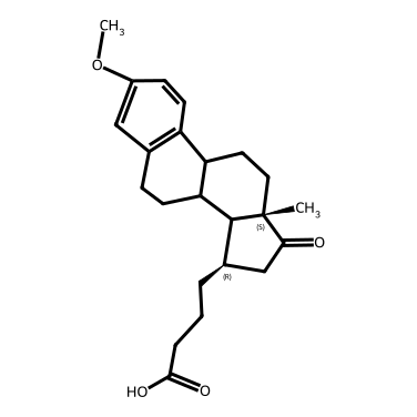 COc1ccc2c(c1)CCC1C2CC[C@]2(C)C(=O)C[C@@H](CCCC(=O)O)C12